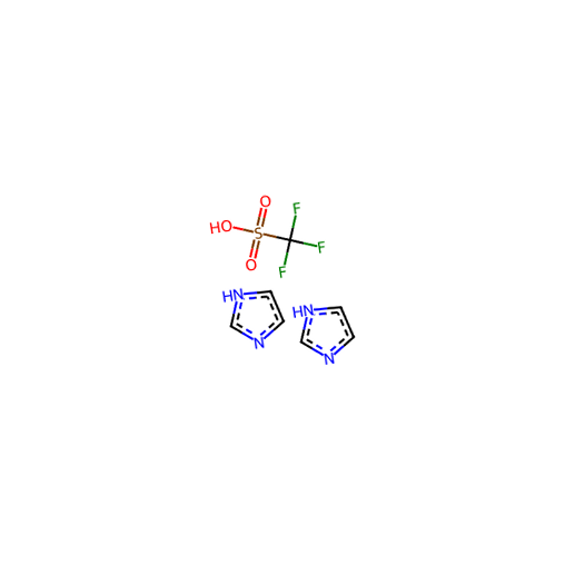 O=S(=O)(O)C(F)(F)F.c1c[nH]cn1.c1c[nH]cn1